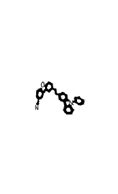 N#Cc1ccc2oc3ccc(CCc4ccc5c(c4)c4ccccc4n5-c4ccccc4)cc3c2c1